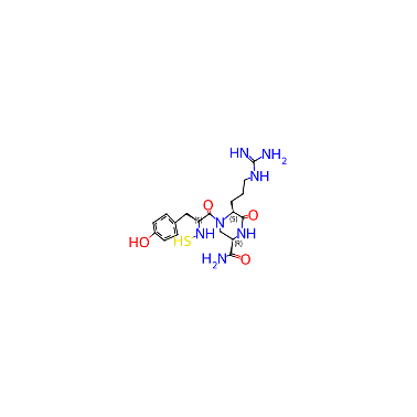 N=C(N)NCCC[C@H]1C(=O)N[C@@H](C(N)=O)CN1C(=O)[C@H](Cc1ccc(O)cc1)NS